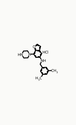 Cc1cc(C)cc(CNc2cc(N3CCNCC3)c3occc3c2)c1.Cl